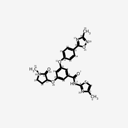 Cc1csc(NC(=O)c2cc(Oc3ccc(-c4nc(C)no4)cc3)cc(OC3CCN(C)C3=O)c2)n1